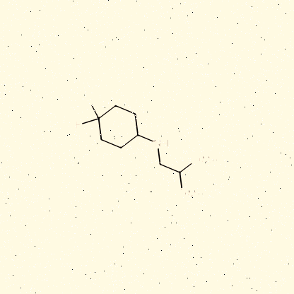 COC(CNC1CCC(F)(F)CC1)OC